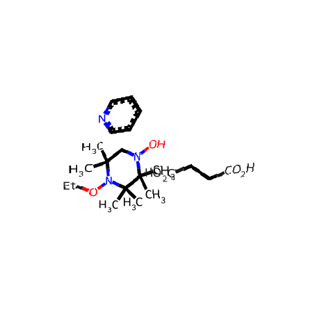 CCON1C(C)(C)CN(O)C(C)(C)C1(C)C.O=C(O)CCC(=O)O.c1ccncc1